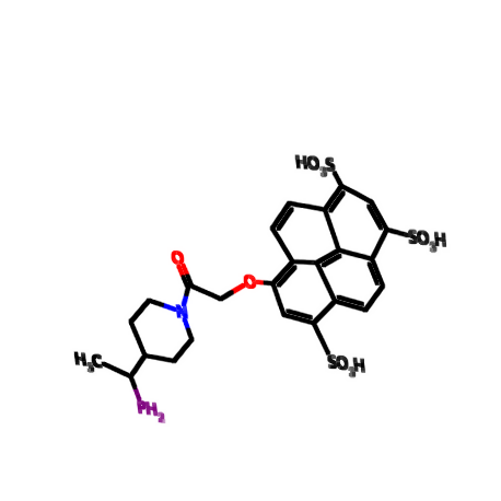 CC(P)C1CCN(C(=O)COc2cc(S(=O)(=O)O)c3ccc4c(S(=O)(=O)O)cc(S(=O)(=O)O)c5ccc2c3c54)CC1